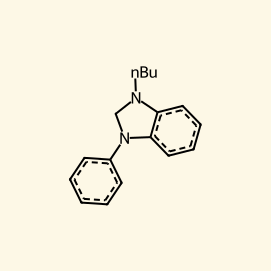 CCCCN1CN(c2ccccc2)c2ccccc21